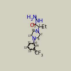 CCC(C(=O)NN)N1CCN(c2cccc(C(F)(F)F)c2)CC1